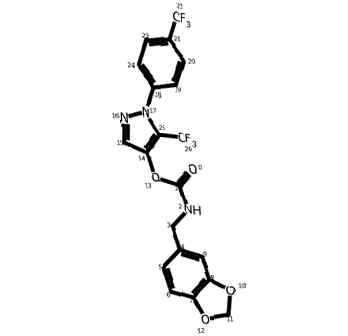 O=C(NCc1ccc2c(c1)OCO2)Oc1cnn(-c2ccc(C(F)(F)F)cc2)c1C(F)(F)F